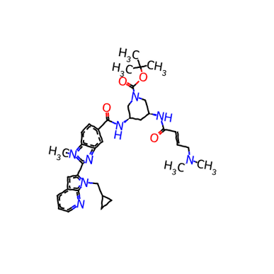 CN(C)C/C=C/C(=O)N[C@H]1C[C@@H](NC(=O)c2ccc3c(c2)nc(-c2cc4cccnc4n2CC2CC2)n3C)CN(C(=O)OC(C)(C)C)C1